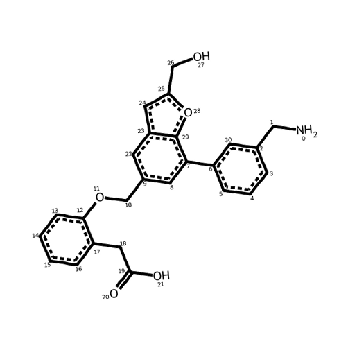 NCc1cccc(-c2cc(COc3ccccc3CC(=O)O)cc3cc(CO)oc23)c1